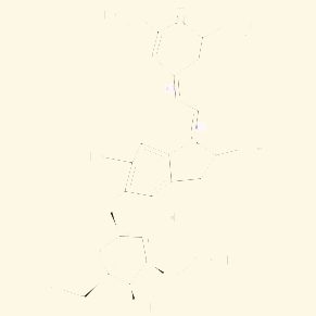 O=C(O)C1=C/C(=C/C=[N+]2\c3cc(O)c(O[C@@H]4O[C@H](CO)[C@H](O)[C@H](OS(=O)(=O)O)[C@H]4O)cc3CC2C(=O)[O-])CC(C(=O)O)N1